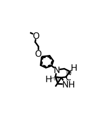 COCCOc1ccc(N2C[C@H]3CNC[C@@H]2C(C)(C)C3)cc1